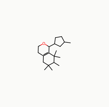 CC1CCC(C2OCCC3=C2C(C)(C)C(C)C(C)(C)C3)C1